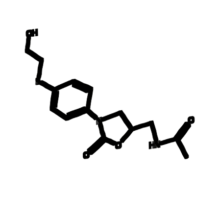 CC(=O)NCC1CN(c2ccc(SCCO)cc2)C(=O)O1